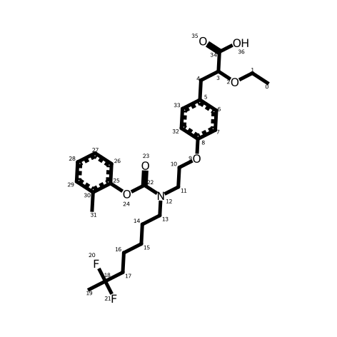 CCOC(Cc1ccc(OCCN(CCCCCC(C)(F)F)C(=O)Oc2ccccc2C)cc1)C(=O)O